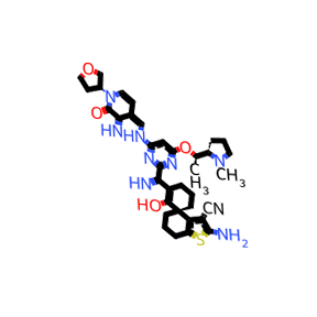 C[C@H](Oc1cc(N/C=C2/C=CN([C@@H]3CCOC3)C(=O)C2=N)nc(C(=N)C2=C(O)[C@@]3(CCC2)CCCc2sc(N)c(C#N)c23)n1)[C@@H]1CCCN1C